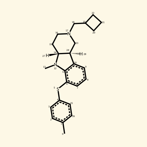 Cc1ccc(Sc2cccc3c2N(C)[C@@H]2CCN(CC4CCC4)C[C@@H]32)cc1